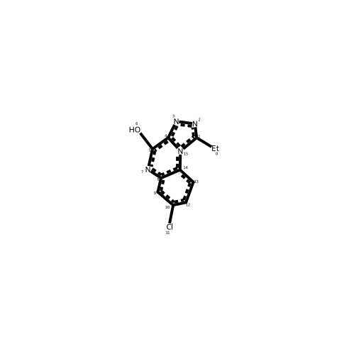 CCc1nnc2c(O)nc3cc(Cl)ccc3n12